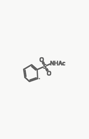 CC(=O)NS(=O)(=O)c1[c]cccc1